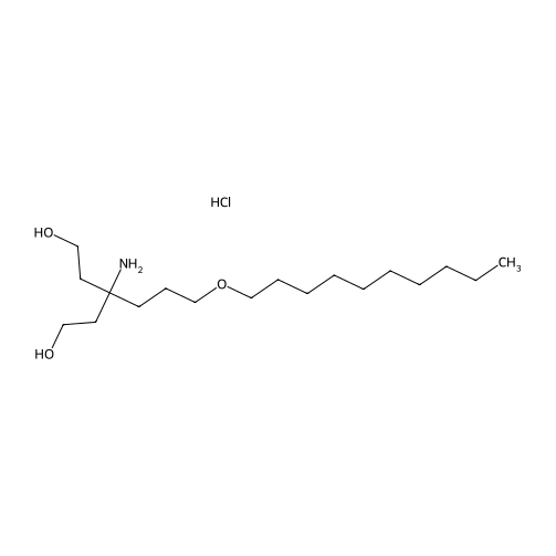 CCCCCCCCCCOCCCC(N)(CCO)CCO.Cl